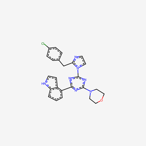 Clc1ccc(Cc2nccn2-c2nc(-c3cccc4[nH]ccc34)nc(N3CCOCC3)n2)cc1